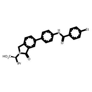 CCc1ccc(C(=O)Nc2ccc(-c3ccc4c(c3)C(=O)N([C@H](C(=O)O)C(C)C)C4)cc2)cc1